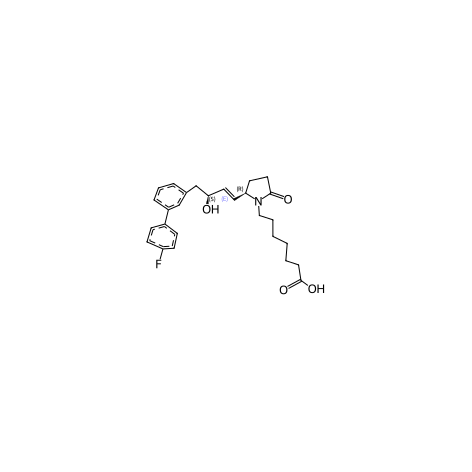 O=C(O)CCCCCCN1C(=O)CC[C@@H]1/C=C/[C@@H](O)Cc1cccc(-c2ccc(F)cc2)c1